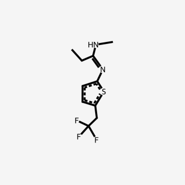 CC/C(=N\c1ccc(CC(F)(F)F)s1)NC